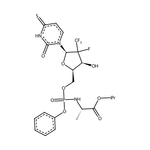 CC(C)OC(=O)[C@H](C)NP(=O)(OC[C@H]1O[C@@H](n2ccc(=S)[nH]c2=O)C(F)(C(F)(F)F)[C@H]1O)Oc1ccccc1